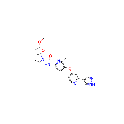 COCCC1(C)CCN(C(=O)Nc2ccc(Oc3ccnc(-c4cn[nH]c4)c3)c(C)n2)C1=O